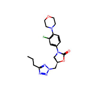 CCCc1nnn(C[C@H]2CN(c3ccc(N4CCOCC4)c(F)c3)C(=O)O2)n1